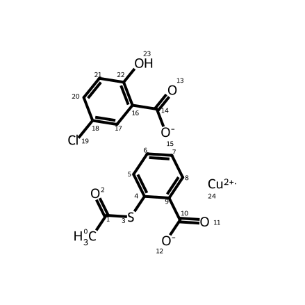 CC(=O)Sc1ccccc1C(=O)[O-].O=C([O-])c1cc(Cl)ccc1O.[Cu+2]